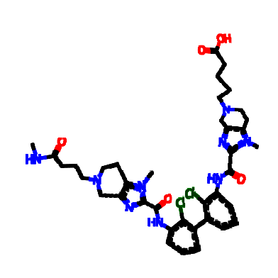 CNC(=O)CCCN1CCc2c(nc(C(=O)Nc3cccc(-c4cccc(NC(=O)c5nc6c(n5C)CCN(CCCCC(=O)O)C6)c4Cl)c3Cl)n2C)C1